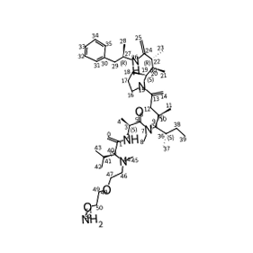 C=C(N[C@@H](C)C(=O)N(C)[C@H]([C@H](C)CC(=C)N1CCC[C@H]1[C@H](C)[C@@H](C)C(=C)N[C@H](C)Cc1ccccc1)[C@@H](C)CC)[C@H](C(C)C)N(C)CCOCCON